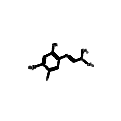 CN(C)/C=N/c1cc(F)c([N+](=O)[O-])cc1C#N